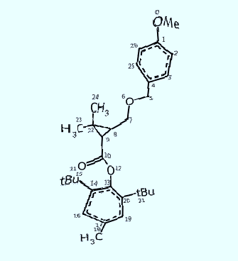 COc1ccc(COCC2C(C(=O)Oc3c(C(C)(C)C)cc(C)cc3C(C)(C)C)C2(C)C)cc1